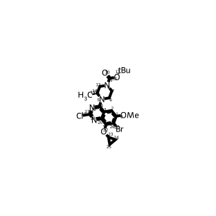 COc1cc2c(N3CCN(C(=O)OC(C)(C)C)C[C@@H]3C)nc(Cl)nc2c(OC2CC2)c1Br